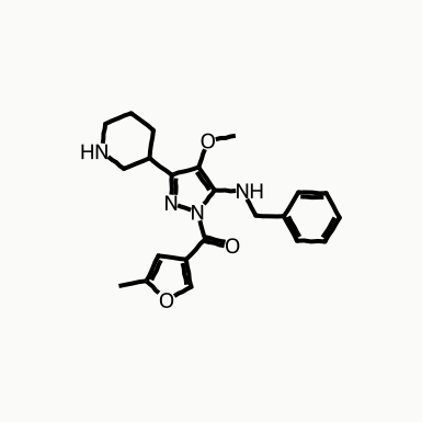 COc1c(C2CCCNC2)nn(C(=O)c2coc(C)c2)c1NCc1ccccc1